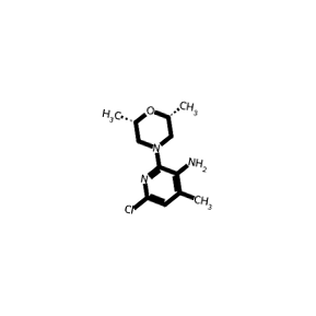 Cc1cc(Cl)nc(N2C[C@@H](C)O[C@@H](C)C2)c1N